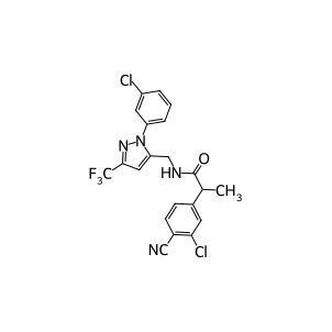 CC(C(=O)NCc1cc(C(F)(F)F)nn1-c1cccc(Cl)c1)c1ccc(C#N)c(Cl)c1